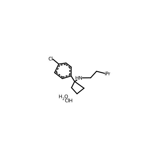 CC(C)CCNC1(c2ccc(Cl)cc2)CCC1.Cl.O